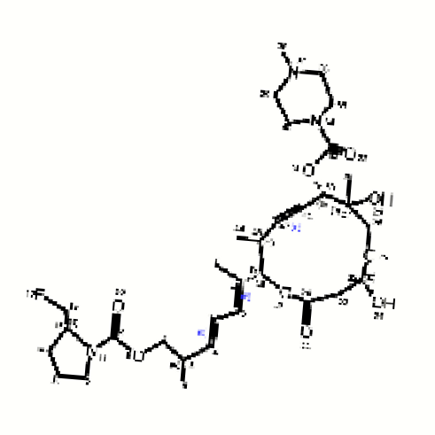 C/C(=C\C=C\[C@@H](C)COC(=O)N1CCC[C@H]1CF)[C@H]1OC(=O)C[C@H](O)CC[C@@](C)(O)[C@@H](OC(=O)N2CCN(C)CC2)/C=C/[C@@H]1C